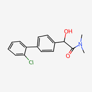 CN(C)C(=O)C(O)c1ccc(-c2ccccc2Cl)cc1